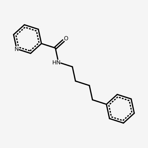 O=C(NCCCCc1ccccc1)c1cccnc1